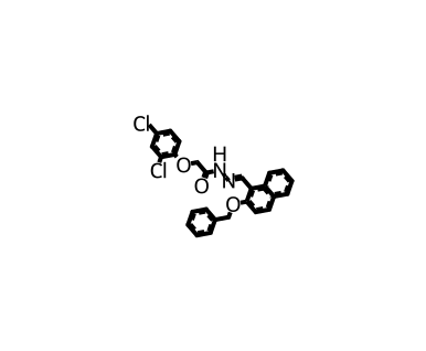 O=C(COc1ccc(Cl)cc1Cl)NN=Cc1c(OCc2ccccc2)ccc2ccccc12